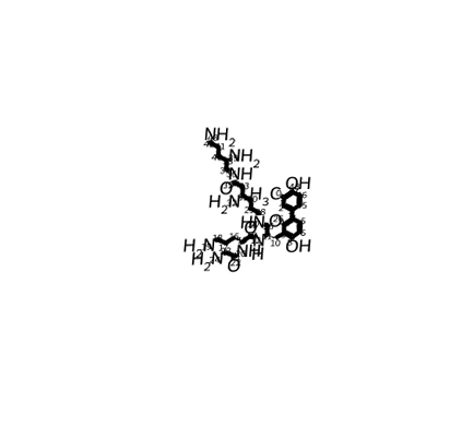 Cc1cc(-c2ccc(O)c(C[C@H](NC(=O)[C@H](CCCN)NC(=O)CN)C(=O)NCCC[C@H](N)CC(=O)NC[C@@H](N)CCCN)c2)ccc1O